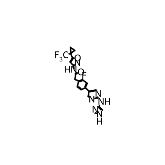 O=C(Cc1ccc(-c2cnc(Nc3c[nH]cn3)nc2)cc1F)Nc1cc(C2(C(F)(F)F)CC2)on1